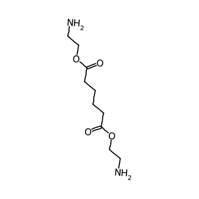 NCCOC(=O)CCCCC(=O)OCCN